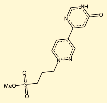 COS(=O)(=O)CCC[n+]1ccc(-c2cc(=O)[nH]cn2)cn1